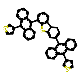 C1=C(c2c3ccccc3c(-c3ccsc3)c3ccccc23)C=C2Sc3c(-c4c5ccccc5c(-c5ccsc5)c5ccccc45)cccc3C2C1